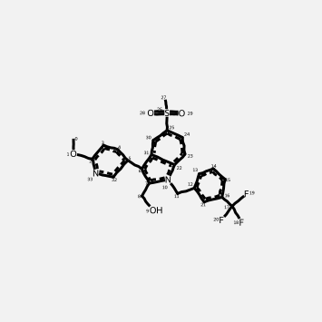 COc1ccc(-c2c(CO)n(Cc3cccc(C(F)(F)F)c3)c3ccc(S(C)(=O)=O)cc23)cn1